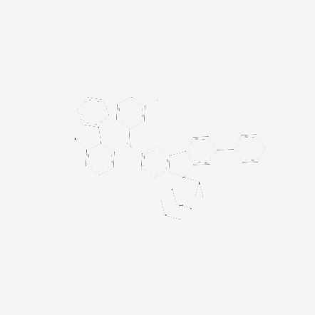 CC1(C)c2ccccc2-c2c(N(c3cccc(F)c3)c3ccc4c(c3)-c3ccc(-c5ccccc5)cc3C43C4CC5CC(C4)CC3C5)cccc21